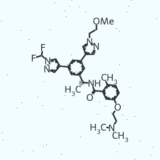 COCCn1cc(-c2cc(-c3cnn(C(F)F)c3)cc([C@@H](C)NC(=O)c3cc(OCCN(C)C)ccc3C)c2)cn1